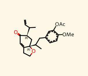 C=CC(C)[C@H]1C[C@]2(C(C)Cc3ccc(OC)c(OC(C)=O)c3)OCCC2=CC1=O